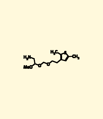 COC(CN)OCOCCc1cc(C)sc1C